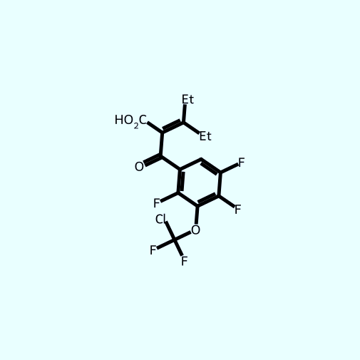 CCC(CC)=C(C(=O)O)C(=O)c1cc(F)c(F)c(OC(F)(F)Cl)c1F